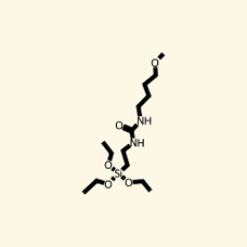 CCO[Si](CCNC(=O)NCCCCOC)(OCC)OCC